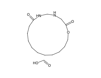 O=C1CCCCCCCCCCOC(=O)CNCN1.O=CO